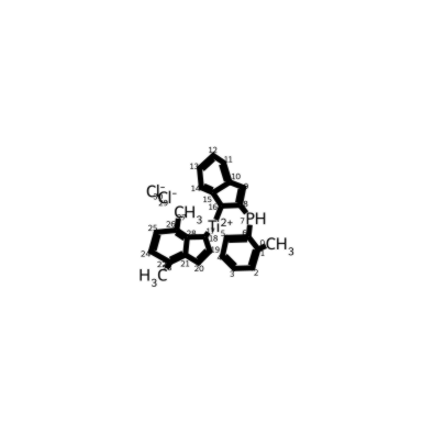 Cc1ccccc1PC1=Cc2ccccc2[CH]1[Ti+2][CH]1C=Cc2c(C)ccc(C)c21.[Cl-].[Cl-]